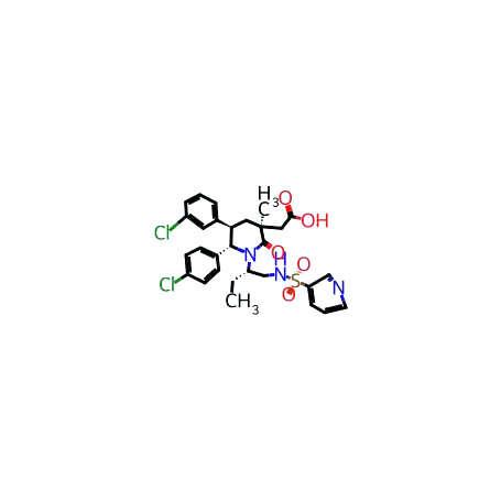 CC[C@@H](CNS(=O)(=O)c1cccnc1)N1C(=O)[C@](C)(CC(=O)O)C[C@H](c2cccc(Cl)c2)[C@H]1c1ccc(Cl)cc1